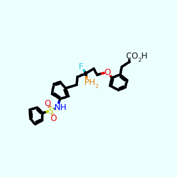 O=C(O)CCc1ccccc1OCCC(F)(P)CCc1cccc(NS(=O)(=O)c2ccccc2)c1